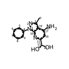 Cc1nn(-c2ccccc2)c2nc(C(O)O)cc(N)c12